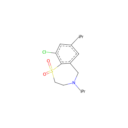 CC(C)c1cc(Cl)c2c(c1)CN(C(C)C)CCS2(=O)=O